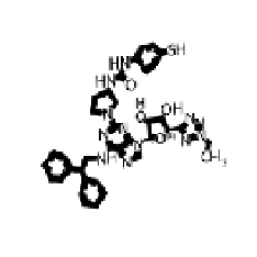 CCn1nnc([C@H]2O[C@@H](n3cnc4c(NCC(c5ccccc5)c5ccccc5)nc(N5CC[C@@H](NC(=O)Nc6ccc(S)cc6)C5)nc43)[C@@H](O)[C@@H]2O)n1